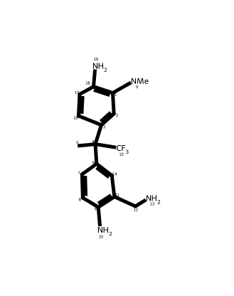 CNc1cc(C(C)(c2ccc(N)c(CN)c2)C(F)(F)F)ccc1N